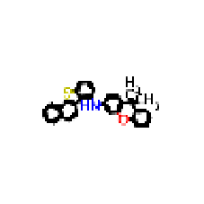 CC1(C)c2ccccc2Oc2cc(Nc3cccc4sc5c6ccccc6ccc5c34)ccc21